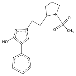 CS(=O)(=O)N1CCCC1CCn1cc(-c2ccccc2)c(O)n1